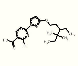 CCC(CCOc1ccn(-c2ccc(C(=O)O)c(Cl)n2)n1)C(C)(C)CC